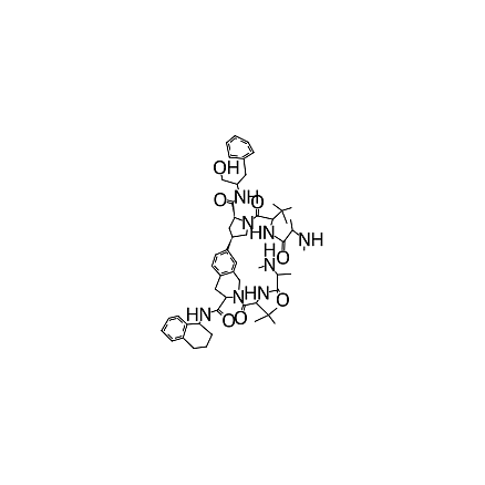 CNC(C)C(=O)NC(C(=O)N1Cc2cc([C@H]3C[C@@H](C(=O)NC(CO)Cc4ccccc4)N(C(=O)C(NC(=O)C(C)NC)C(C)(C)C)C3)ccc2CC1C(=O)N[C@@H]1CCCc2ccccc21)C(C)(C)C